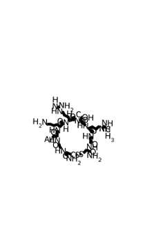 CC(=N)NCCCC1NC(=O)C(C(C)O)NC(=O)C(CCCNC(=N)N)NC(=O)C(CCCCN)NC(=O)C(CC(C)=O)NC(=O)CNC(=O)C(N)CSSCC(C(N)=O)NC(=O)CNC1=O